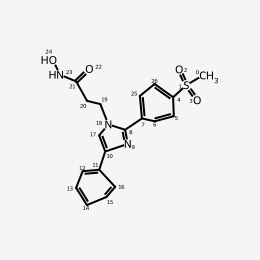 CS(=O)(=O)c1ccc(-c2nc(-c3ccccc3)cn2CCC(=O)NO)cc1